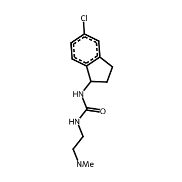 CNCCNC(=O)NC1CCc2cc(Cl)ccc21